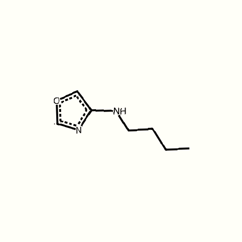 CCCCNc1co[c]n1